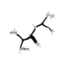 CCCCCCC(CCCCCC)C(=O)OC(C(=O)OCC)C(C)C